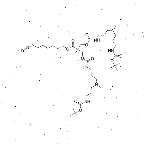 CN(CCCNC(=O)OCC(C)(COC(=O)NCCCN(C)CCCNC(=O)OC(C)(C)C)C(=O)OCCCCCCN=[N+]=[N-])CCCNC(=O)OC(C)(C)C